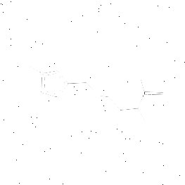 C=C(C)C(C)CCOCc1cn(CC)nn1